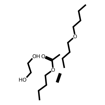 C=C.CCCCOC(C)=O.CCCCOCCCC.OCCO